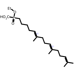 CCOP(=O)(CCCC/C=C(\C)CC/C=C(\C)CCC=C(C)C)C(=O)O